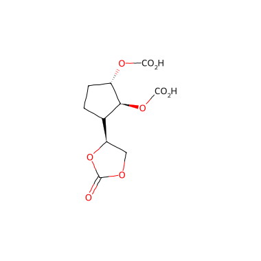 O=C(O)O[C@H]1CCC([C@H]2COC(=O)O2)[C@@H]1OC(=O)O